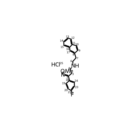 CON=C(CCNCCc1ccc2ccccc2c1)c1ccc(F)cc1.Cl